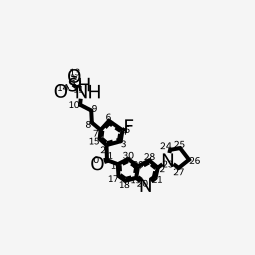 O=C(c1cc(F)cc(CCCN[SH](=O)=O)c1)c1ccc2ncc(N3CCCC3)cc2c1